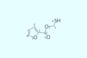 O=C(OCS)c1ccco1